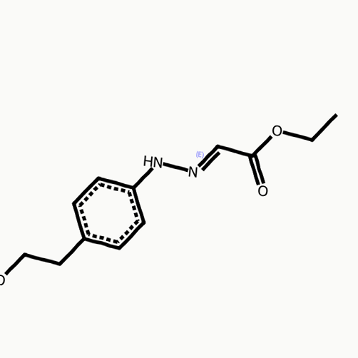 CCOC(=O)/C=N/Nc1ccc(CCO)cc1